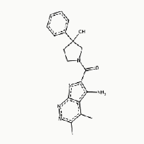 Cc1nnc2sc(C(=O)N3CCC(O)(c4ccccc4)C3)c(N)c2c1C